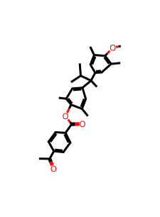 COc1c(C)cc(C(C)(c2cc(C)c(OC(=O)c3ccc(C(C)=O)cc3)c(C)c2)C(C)C)cc1C